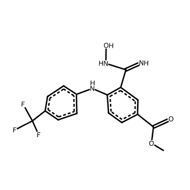 COC(=O)c1ccc(Nc2ccc(C(F)(F)F)cc2)c(C(=N)NO)c1